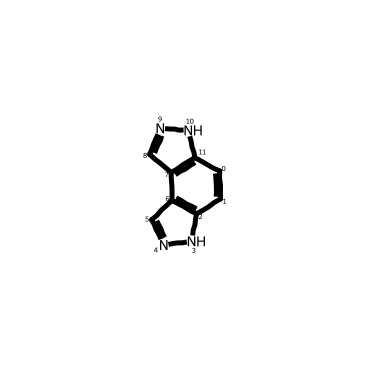 c1cc2[nH]ncc2c2cn[nH]c12